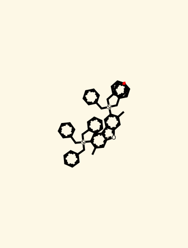 Cc1cc2oc3cc(C)c([Si](Cc4ccccc4)(Cc4ccccc4)Cc4ccccc4)cc3c2cc1[Si](Cc1ccccc1)(Cc1ccccc1)Cc1ccccc1